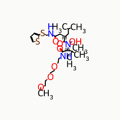 COCCOCCOCCNC(=O)[C@@H](N(O)C(=O)[C@@H](CC(=O)NCSc1cccs1)CC(C)C)C(C)(C)C